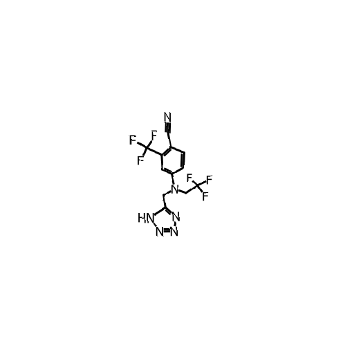 N#Cc1ccc(N(Cc2nnn[nH]2)CC(F)(F)F)cc1C(F)(F)F